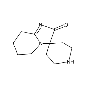 O=C1N=C2CCCCN2C12CCNCC2